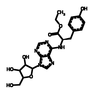 CCOC(=O)[C@@H](Cc1ccc(O)cc1)Nc1ncnc2c1ncn2C1OC(CO)C(O)C1O